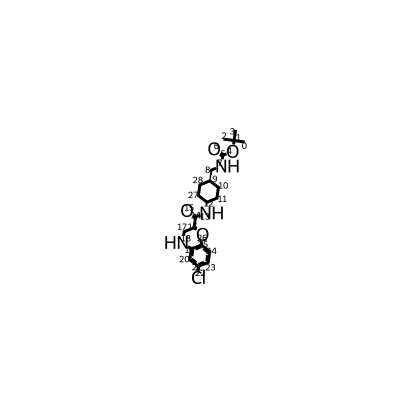 CC(C)(C)OC(=O)NC[C@H]1CC[C@H](NC(=O)C2CNc3cc(Cl)ccc3O2)CC1